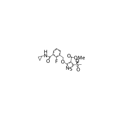 COC(=O)c1c(OCc2cccc(C(=O)NC3CC3)c2F)nsc1S(C)(=O)=O